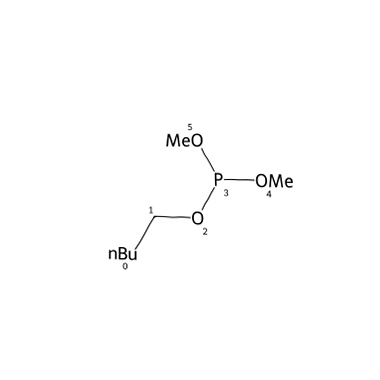 CCCCCOP(OC)OC